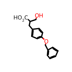 O=C(O)C(CO)Cc1ccc(OCc2ccccc2)cc1